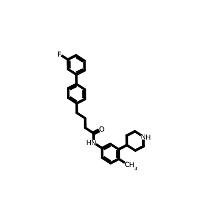 Cc1ccc(NC(=O)CCCc2ccc(-c3cccc(F)c3)cc2)cc1C1CCNCC1